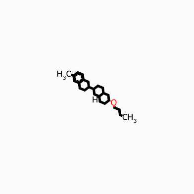 CCCCO[C@@H]1CC[C@@H]2CC(C3CCc4cc(C)ccc4C3)CCC2C1